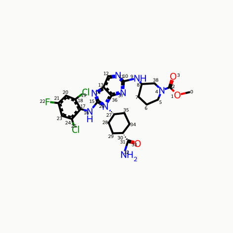 COC(=O)N1CCCC(Nc2ncc3nc(Nc4c(Cl)cc(F)cc4Cl)n([C@H]4CC[C@@H](C(N)=O)CC4)c3n2)C1